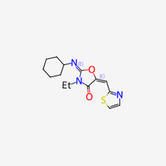 CCN1C(=O)/C(=C\c2nccs2)O/C1=N/C1CCCCC1